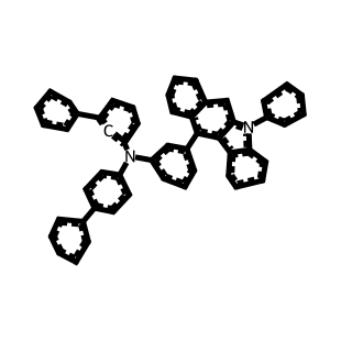 c1ccc(-c2ccc(N(c3cccc(-c4ccccc4)c3)c3cccc(-c4c5ccccc5cc5c4c4ccccc4n5-c4ccccc4)c3)cc2)cc1